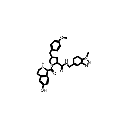 COc1ccc(CC2CC(C(=O)NCC3=Cc4nnn(C)c4CC3)N(C(=O)C3NCCc4cc(O)ccc43)C2)cc1